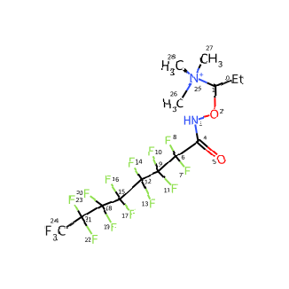 CCC(ONC(=O)C(F)(F)C(F)(F)C(F)(F)C(F)(F)C(F)(F)C(F)(F)C(F)(F)F)[N+](C)(C)C